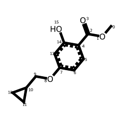 COC(=O)c1ccc(OCC2CC2)cc1O